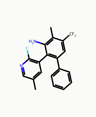 Cc1cnc(F)c(-c2c(-c3ccccc3)cc(C(F)(F)F)c(C)c2N)c1